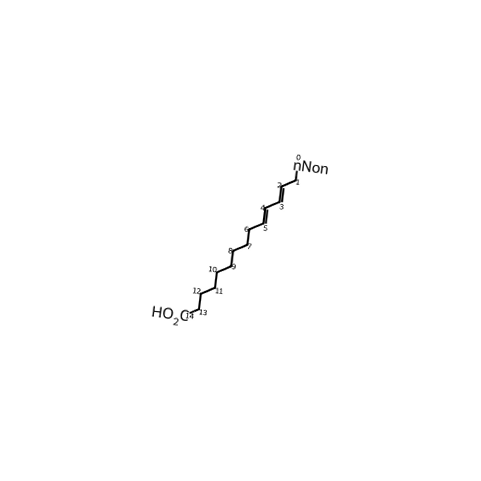 CCCCCCCCCCC=CC=CCCCCCCCCC(=O)O